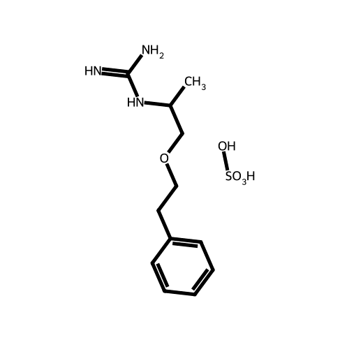 CC(COCCc1ccccc1)NC(=N)N.O=S(=O)(O)O